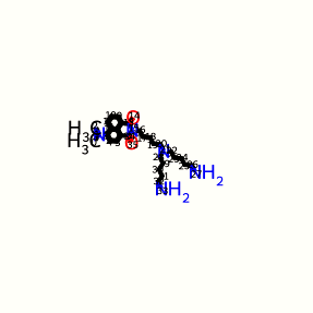 CN(C)c1ccc2c3c(cccc13)C(=O)N(CCCCCN(CCCCCN)CCCCCN)C2=O